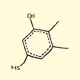 Cc1cc(S)cc(O)c1C